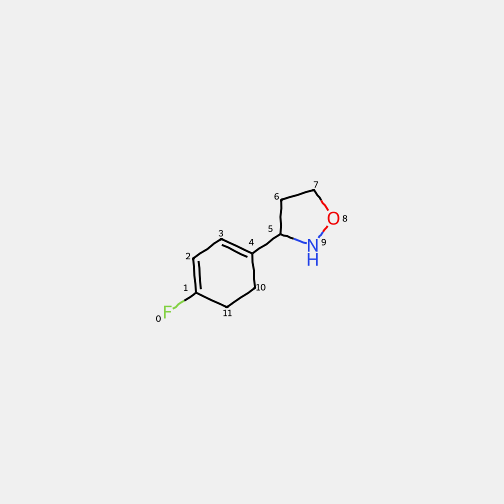 FC1=CC=C(C2CCON2)CC1